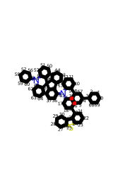 c1ccc(-c2cccc(-c3ccccc3N(c3ccc(-c4cccc5sc6ccccc6c45)cc3)c3cccc4c3-c3ccccc3C43c4ccccc4N(c4ccccc4)c4ccccc43)c2)cc1